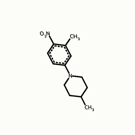 Cc1cc(N2CCC(C)CC2)ccc1[N+](=O)[O-]